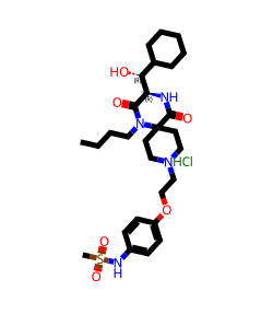 CCCCN1C(=O)[C@@H]([C@H](O)C2CCCCC2)NC(=O)C12CCN(CCOc1ccc(NS(C)(=O)=O)cc1)CC2.Cl